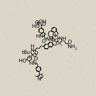 Cc1ncsc1-c1ccc(CNC(=O)[C@@H]2C[C@@H](O)CN2C(=O)[C@@H](NC(=O)CCCc2ccc3cc(CO[C@H](C)[C@H](CCC(N)=O)NC(=O)[C@@H]4Cc5cccc6c5N4C(=O)[C@@H](NC(=O)c4cc5cc(C(=O)P(=O)(O)O)ccc5[nH]4)CC6)ccc3c2)C(C)(C)C)cc1